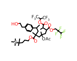 CC(=O)OC(C)(CC(C(=O)OCC(F)(F)C(F)F)C(C)C(=O)OC(C(F)(F)F)C(F)(F)F)CC(C)(CC(C)c1ccc(CCO)cc1)C(=O)OCCCC(C)(C)[Si](C)(C)C